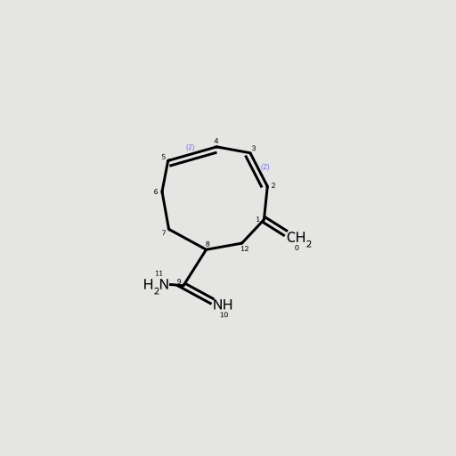 C=C1/C=C\C=C/CCC(C(=N)N)C1